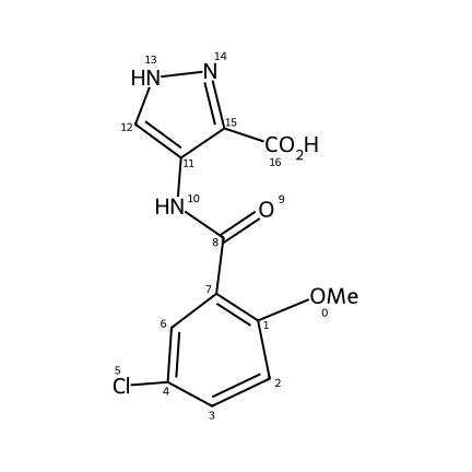 COc1ccc(Cl)cc1C(=O)Nc1c[nH]nc1C(=O)O